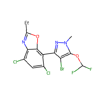 CCc1nc2c(Cl)cc(Cl)c(-c3nn(C)c(OC(F)F)c3Br)c2o1